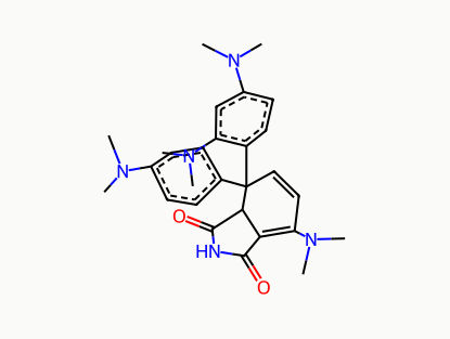 CN(C)C1=C2C(=O)NC(=O)C2C(c2ccc(N(C)C)cc2)(c2ccc(N(C)C)cc2N(C)C)C=C1